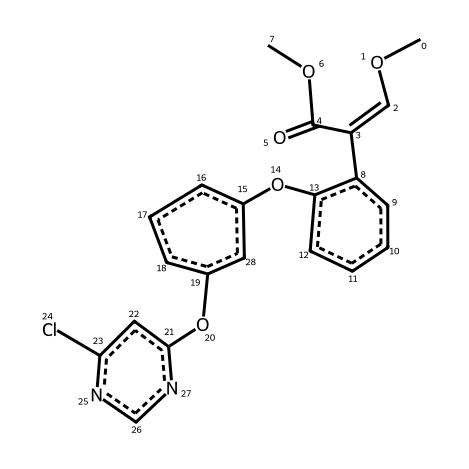 COC=C(C(=O)OC)c1ccccc1Oc1cccc(Oc2cc(Cl)ncn2)c1